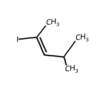 C/C(I)=C\C(C)C